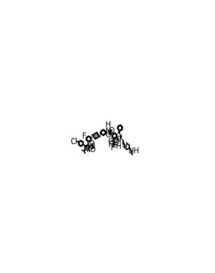 CCNC1CCN(CC[C@H](CSc2ccccc2)Nc2ccc(S(=O)(=O)Nc3ccc(N4CCN(c5cc(F)cc(-c6c(S(C)(=O)=O)c(C)n(C(C)C)c6-c6ccc(Cl)cc6)c5)CC4)cc3)cc2S(=O)(=O)C(F)(F)F)CC1